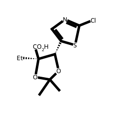 CC[C@@]1(C(=O)O)OC(C)(C)O[C@H]1c1cnc(Cl)s1